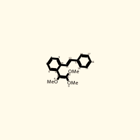 COC(OC)=C(OC)c1ccccc1C=Cc1ccccc1